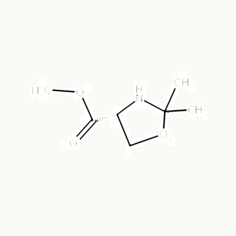 COC(=O)[C@H]1COC(C)(C)N1